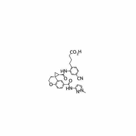 Cn1ccc(NC(=O)c2ccc3c(c2)[C@]2(CCO3)C[C@H]2C(=O)Nc2cc(C#N)ccc2CCCC(=O)O)n1